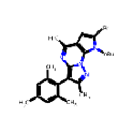 CCCCn1c(C(C)C)cc2c(C)nc3c(-c4c(C)cc(C)cc4C)c(C)nn3c21